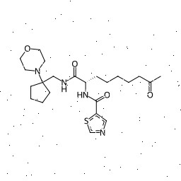 CC(=O)CCCCC[C@H](NC(=O)c1cncs1)C(=O)NCC1(N2CCOCC2)CCCC1